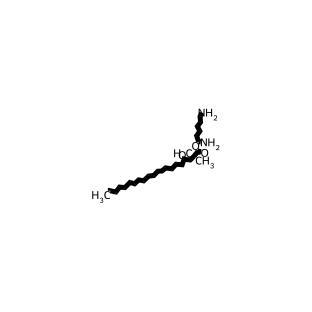 CCCCCCCCCCCCCCCCCC(=O)CC(C)(C)C(=O)OC(N)CCCCCN